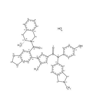 Cc1cc(C(=O)N(c2ccc(O)cc2)c2ccc3c(c2)CN(C)C3)cn1-c1cc2c(cc1C(=O)N1Cc3ccccc3C[C@H]1C)OCO2.Cl